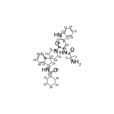 CC(C)(N)C(=O)N[C@H](Cc1c[nH]c2ccccc12)C(=O)N1CCC2(CC1)CC(NC(=O)C1CCCCC1)c1ccccc12